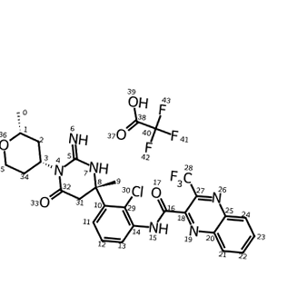 C[C@@H]1C[C@H](N2C(=N)N[C@](C)(c3cccc(NC(=O)c4nc5ccccc5nc4C(F)(F)F)c3Cl)CC2=O)CCO1.O=C(O)C(F)(F)F